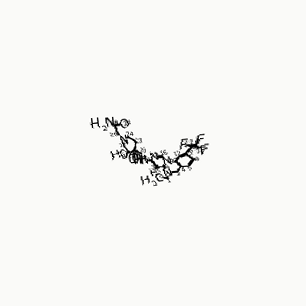 CCN(Cc1ccc(C(F)(F)F)cc1)c1ncnc(NC[C@]2(O)CCN(CC(N)=O)CC2(O)O)c1F